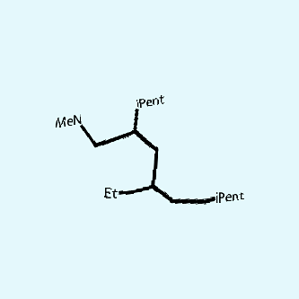 CCCC(C)CC(CC)CC(CNC)C(C)CCC